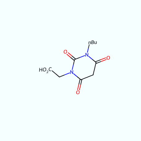 CCCCN1C(=O)CC(=O)N(CC(=O)O)C1=O